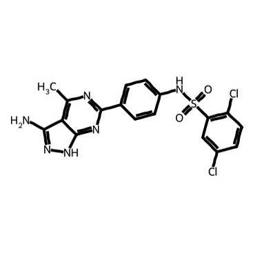 Cc1nc(-c2ccc(NS(=O)(=O)c3cc(Cl)ccc3Cl)cc2)nc2[nH]nc(N)c12